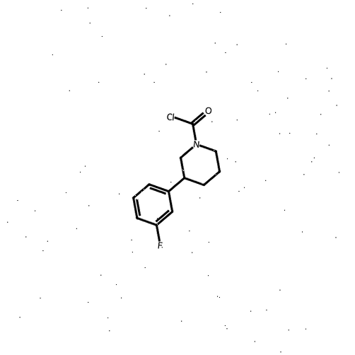 O=C(Cl)N1CCCC(c2cccc(F)c2)C1